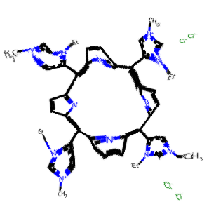 CCn1c[n+](C)cc1C1=C2C=CC(=N2)C(c2c[n+](C)cn2CC)=C2C=CC(=N2)C(c2c[n+](C)cn2CC)=C2C=CC(=N2)C(c2c[n+](C)cn2CC)=C2C=CC1=N2.[Cl-].[Cl-].[Cl-].[Cl-]